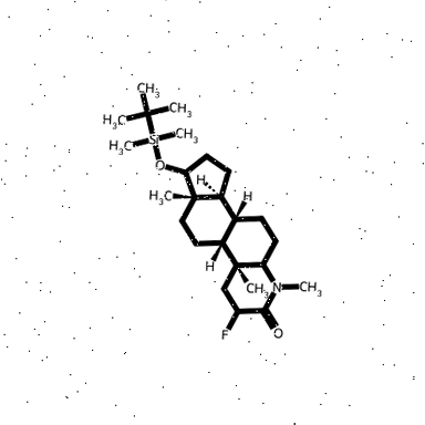 CN1C(=O)C(F)C[C@@]2(C)C1CC[C@@H]1[C@H]2CC[C@]2(C)C(O[Si](C)(C)C(C)(C)C)CC[C@@H]12